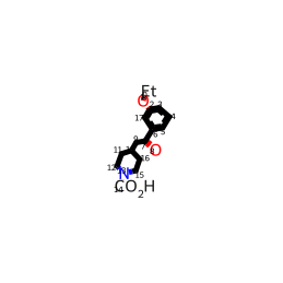 CCOc1cccc(C(=O)CC2CCN(C(=O)O)CC2)c1